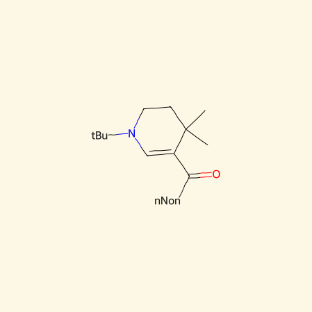 CCCCCCCCCC(=O)C1=CN(C(C)(C)C)CCC1(C)C